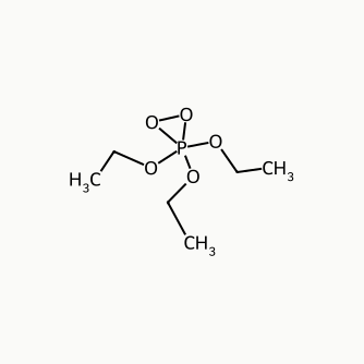 CCOP1(OCC)(OCC)OO1